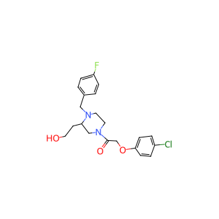 O=C(COc1ccc(Cl)cc1)N1CCN(Cc2ccc(F)cc2)C(CCO)C1